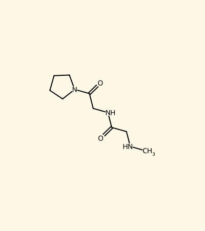 CNCC(=O)NCC(=O)N1CCCC1